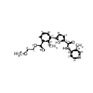 COCCOC(=O)c1cccc(-c2ccc(C(=O)Nc3ccncc3C)s2)c1C